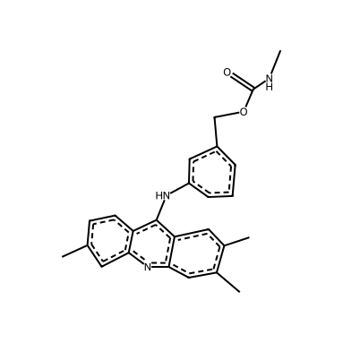 CNC(=O)OCc1cccc(Nc2c3ccc(C)cc3nc3cc(C)c(C)cc23)c1